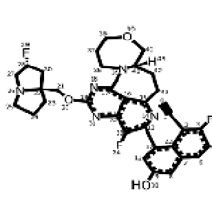 C#Cc1c(F)ccc2cc(O)cc(-c3nc4c5c(nc(OC[C@@]67CCCN6C[C@H](F)C7)nc5c3F)N3CCCOC[C@@H]3CC4)c12